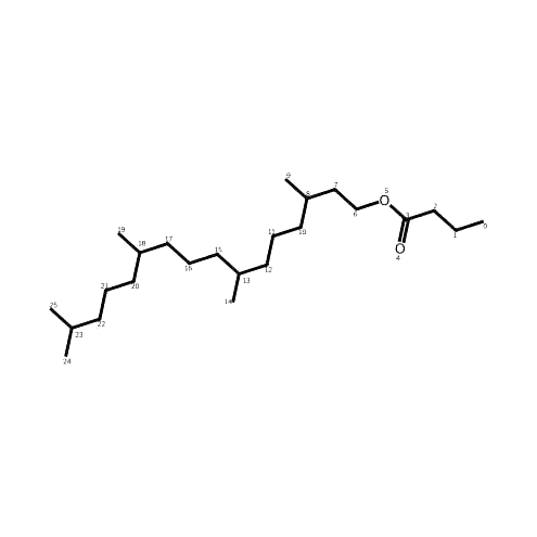 CCCC(=O)OCCC(C)CCCC(C)CCCC(C)CCCC(C)C